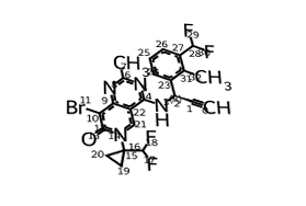 C#C[C@@H](Nc1nc(C)nc2c(Br)c(=O)n(C3(C(F)F)CC3)cc12)c1cccc(C(F)F)c1C